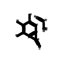 Cc1cc2c(=O)c2c(C)c1C.O=PO